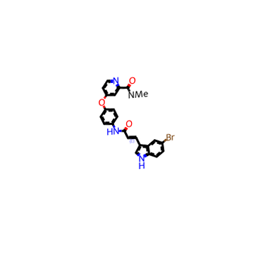 CNC(=O)c1cc(Oc2ccc(NC(=O)/C=C/c3c[nH]c4ccc(Br)cc34)cc2)ccn1